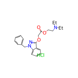 CCN(CC)CCOC(=O)COc1nn(Cc2ccccc2)c2ccccc12.Cl